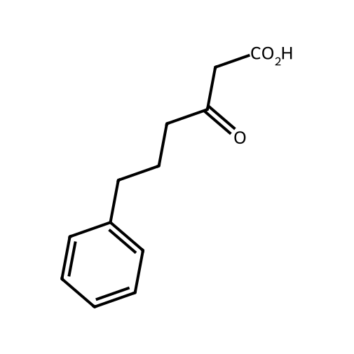 O=C(O)CC(=O)CCCc1ccccc1